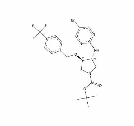 CC(C)(C)OC(=O)N1C[C@@H](Nc2ncc(Br)cn2)[C@H](OCc2ccc(C(F)(F)F)cc2)C1